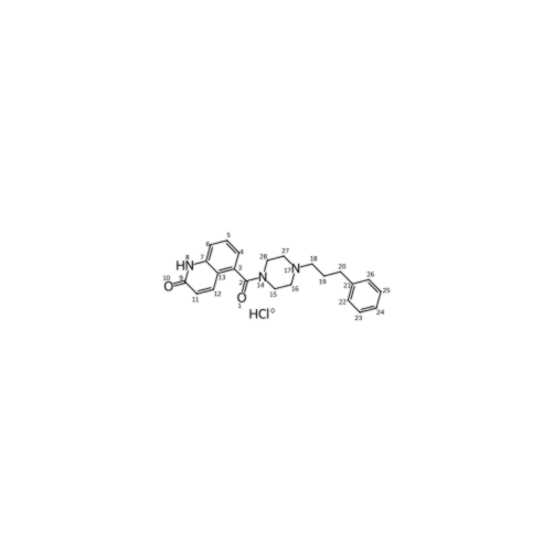 Cl.O=C(c1cccc2[nH]c(=O)ccc12)N1CCN(CCCc2ccccc2)CC1